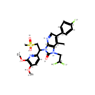 CCOc1nc(C(CS(C)(=O)=O)n2c(=O)n(CC(F)F)c3c(C)c(-c4ccc(F)cc4)cnc32)ccc1OC(C)C